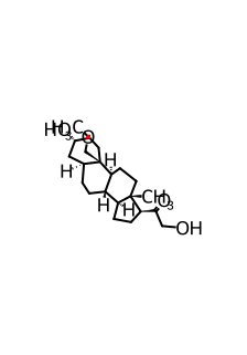 COC[C@]12CC[C@@H](O)C[C@@H]1CC[C@H]1[C@@H]3CC[C@H](C(=O)CO)[C@@]3(C)CC[C@@H]12